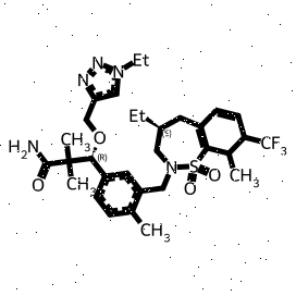 CC[C@H]1CC2=C(C(C)C(C(F)(F)F)C=C2)S(=O)(=O)N(Cc2cc([C@@H](OCc3cn(CC)nn3)C(C)(C)C(N)=O)ccc2C)C1